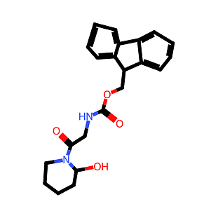 O=C(NCC(=O)N1CCCCC1O)OCC1c2ccccc2-c2ccccc21